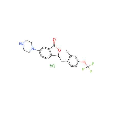 Cc1cc(OC(F)(F)F)ccc1CC1OC(=O)c2cc(N3CCNCC3)ccc21.Cl